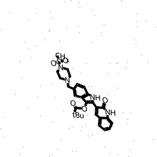 CC(C)(C)C(=O)Oc1c(-c2cc3ccccc3[nH]c2=O)[nH]c2ccc(CN3CCN(S(C)(=O)=O)CC3)cc12